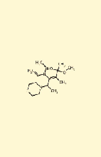 C=CN(CC)/C(=C(/C)C(C)(O)OC)C(C)N1CCOCC1